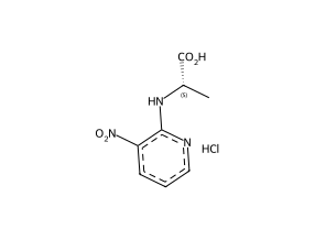 C[C@H](Nc1ncccc1[N+](=O)[O-])C(=O)O.Cl